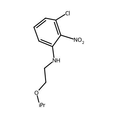 CC(C)OCCNc1cccc(Cl)c1[N+](=O)[O-]